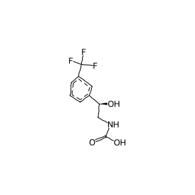 O=C(O)NC[C@H](O)c1cccc(C(F)(F)F)c1